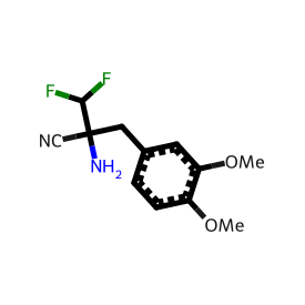 COc1ccc(CC(N)(C#N)C(F)F)cc1OC